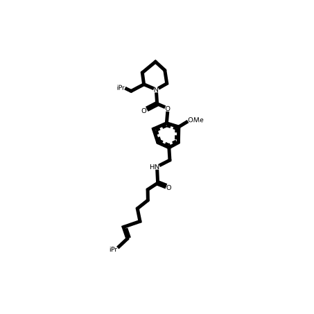 COc1cc(CNC(=O)CCCC/C=C/C(C)C)ccc1OC(=O)N1CCCCC1CC(C)C